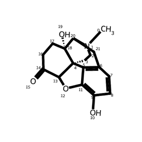 CN1CC[C@]23c4c5ccc(O)c4OC2C(=O)CC[C@@]3(O)C1C5